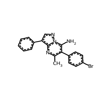 Cc1nc2c(-c3ccccc3)cnn2c(N)c1-c1ccc(Br)cc1